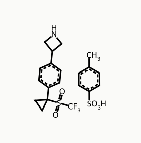 Cc1ccc(S(=O)(=O)O)cc1.O=S(=O)(C(F)(F)F)C1(c2ccc(C3CNC3)cc2)CC1